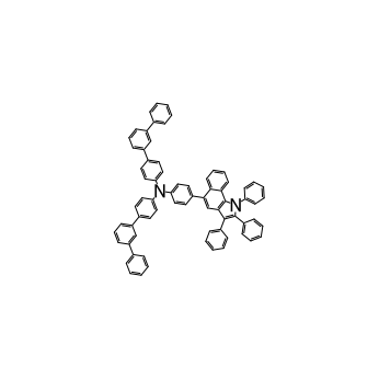 c1ccc(-c2cccc(-c3ccc(N(c4ccc(-c5cccc(-c6ccccc6)c5)cc4)c4ccc(-c5cc6c(-c7ccccc7)c(-c7ccccc7)n(-c7ccccc7)c6c6ccccc56)cc4)cc3)c2)cc1